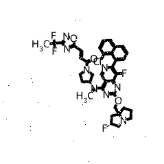 CN(c1nc(OCC23CCCN2C[C@H](F)C3)nc2c(F)c(-c3cccc4cccc(Cl)c34)ncc12)[C@@H]1CCN(C(=O)/C=C/c2nc(C(C)(F)F)no2)C1